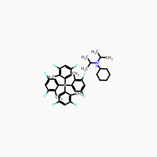 CC(C)[NH+](C(C)C)C1CCCCC1.Cc1c(F)cc(F)cc1[B-](c1cc(F)cc(F)c1C)(c1cc(F)cc(F)c1C)c1cc(F)cc(F)c1C